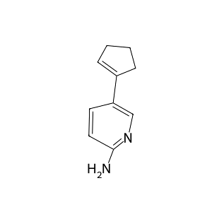 Nc1ccc(C2=CCCC2)cn1